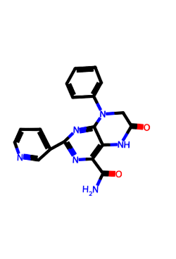 NC(=O)c1nc(-c2cccnc2)nc2c1NC(=O)CN2c1ccccc1